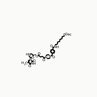 CCCCCCCCCCCCCCCCCCNC(=O)c1ccc(C(=O)N2CCN(C(=O)CCC(=O)OC[C@@H]3CNC[C@H](n4cc(C)c(=O)[nH]c4=O)O3)CC2)cc1